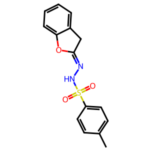 Cc1ccc(S(=O)(=O)NN=C2Cc3ccccc3O2)cc1